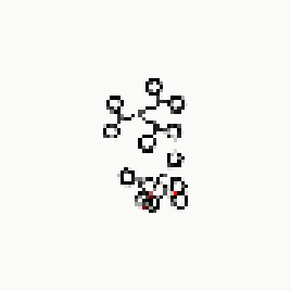 CC(CP(c1ccccc1)c1ccccc1)(CP(c1ccccc1)c1ccccc1)CP(c1ccccc1)c1ccccc1.c1ccc(P(CCP(CCP(c2ccccc2)c2ccccc2)CCP(c2ccccc2)c2ccccc2)c2ccccc2)cc1